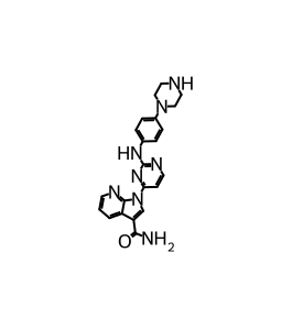 NC(=O)c1cn(-c2ccnc(Nc3ccc(N4CCNCC4)cc3)n2)c2ncccc12